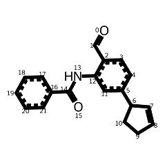 O=Cc1ccc(C2C=CCC2)cc1NC(=O)c1ccccc1